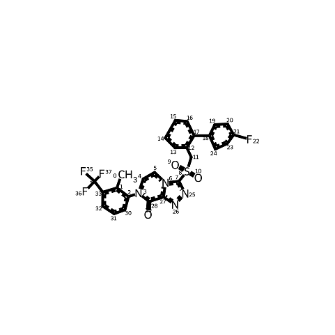 Cc1c(-n2ccn3c(S(=O)(=O)Cc4ccccc4-c4ccc(F)cc4)nnc3c2=O)cccc1C(F)(F)F